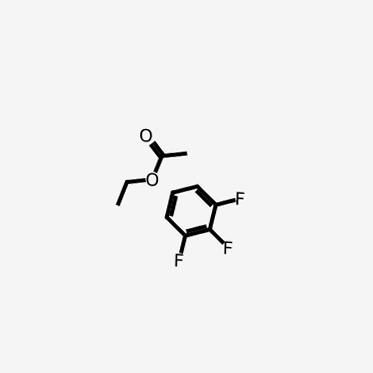 CCOC(C)=O.Fc1cccc(F)c1F